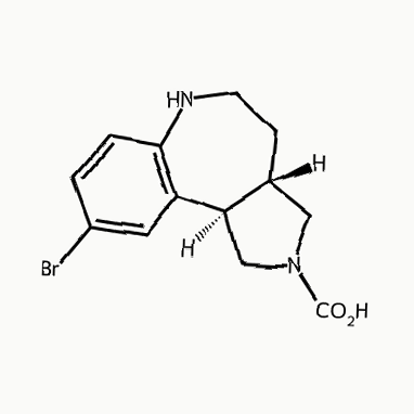 O=C(O)N1C[C@H]2CCNc3ccc(Br)cc3[C@@H]2C1